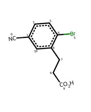 N#Cc1ccc(Br)c(CCC(=O)O)c1